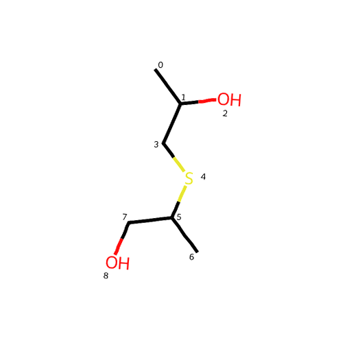 CC(O)CSC(C)CO